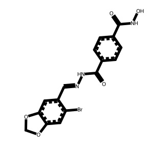 O=C(NO)c1ccc(C(=O)N/N=C/c2cc3c(cc2Br)OCO3)cc1